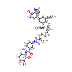 COc1cc(-c2cn(C)c(=O)c3ncsc23)cc(OC)c1CN1CC(CN2CCC3(CC2)CN(c2ccc4c(c2)C(=O)N(C2CCC(=O)NC2=O)C4)C3)C1